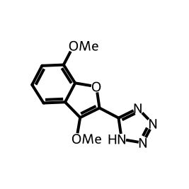 COc1c(-c2nnn[nH]2)oc2c(OC)cccc12